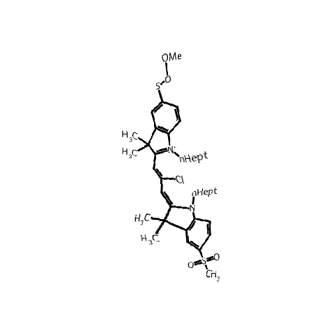 CCCCCCCN1C(=CC(Cl)=CC2=[N+](CCCCCCC)c3ccc(SOOC)cc3C2(C)C)C(C)(C)c2cc(S(C)(=O)=O)ccc21